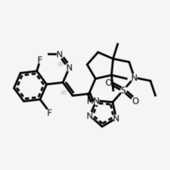 C=C(/C=C(\N=N/C)c1c(F)cccc1F)C1CCC(C)(CN(CC)S(=O)(=O)c2ncn[nH]2)C1(C)C